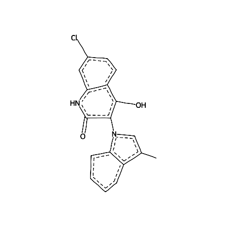 Cc1cn(-c2c(O)c3ccc(Cl)cc3[nH]c2=O)c2ccccc12